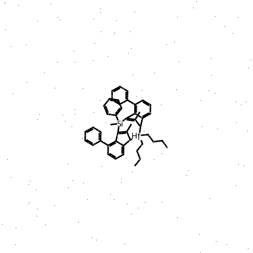 CCC[CH2][Hf]1([CH2]CCC)[CH]2C(C)=C(c3c(-c4ccccc4)cccc32)[Si](C)(c2ccccc2)C2=C(C)[CH]1c1cccc(-c3ccccc3)c12